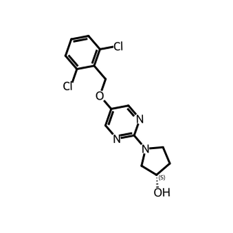 O[C@H]1CCN(c2ncc(OCc3c(Cl)cccc3Cl)cn2)C1